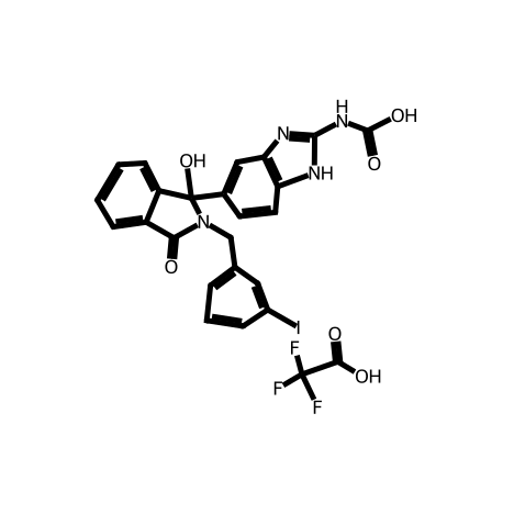 O=C(O)C(F)(F)F.O=C(O)Nc1nc2cc(C3(O)c4ccccc4C(=O)N3Cc3cccc(I)c3)ccc2[nH]1